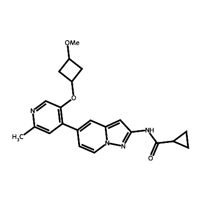 COC1CC(Oc2cnc(C)cc2-c2ccn3nc(NC(=O)C4CC4)cc3c2)C1